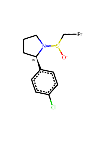 CC(C)C[S+]([O-])N1CCC[C@@H]1c1ccc(Cl)cc1